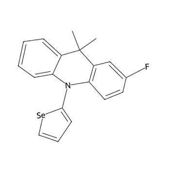 CC1(C)c2ccccc2N(c2ccc[se]2)c2ccc(F)cc21